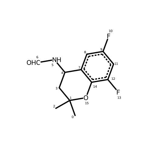 CC1(C)CC(NC=O)c2cc(F)cc(F)c2O1